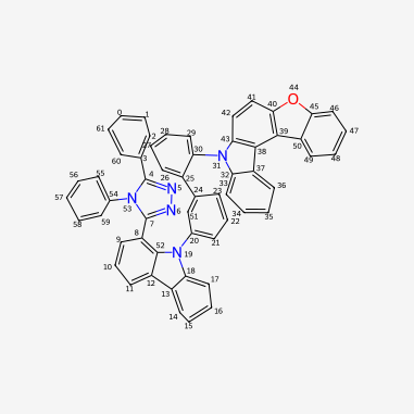 c1ccc(-c2nnc(-c3cccc4c5ccccc5n(-c5cccc(-c6ccccc6-n6c7ccccc7c7c8c(ccc76)oc6ccccc68)c5)c34)n2-c2ccccc2)cc1